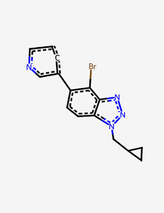 Brc1c(-c2cccnc2)ccc2c1nnn2CC1CC1